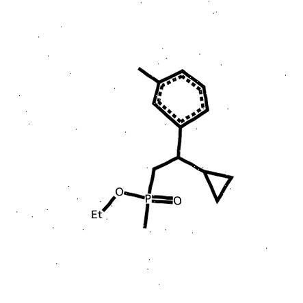 CCOP(C)(=O)CC(c1cccc(C)c1)C1CC1